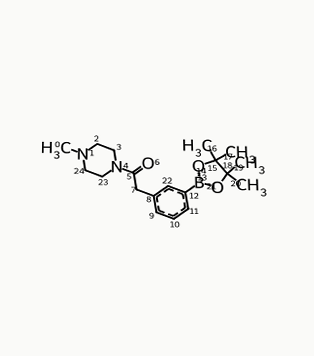 CN1CCN(C(=O)Cc2cccc(B3OC(C)(C)C(C)(C)O3)c2)CC1